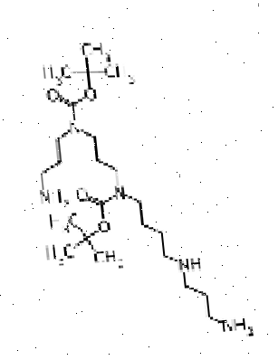 CC(C)(C)OC(=O)N(CCCN)CCCN(CCCCNCCCN)C(=O)OC(C)(C)C